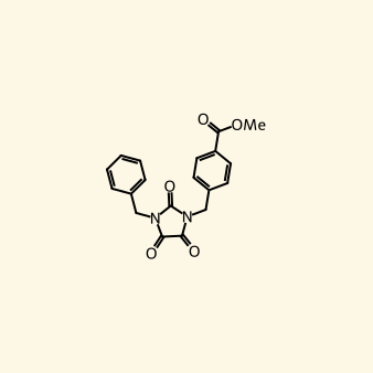 COC(=O)c1ccc(CN2C(=O)C(=O)N(Cc3ccccc3)C2=O)cc1